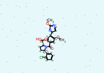 COc1nccc(-c2ccc(C(=O)N3[C@@H](c4ccccc4Cl)CC[C@H]3C(=O)O)cc2OC)n1